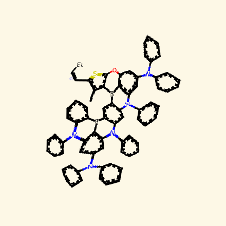 CC/C=C\c1sc2c(c1C)B1c3cc4c(cc3N(c3ccccc3)c3cc(N(c5ccccc5)c5ccccc5)cc(c31)O2)N(c1ccccc1)c1cc(N(c2ccccc2)c2ccccc2)cc2c1B4c1ccccc1N2c1ccccc1